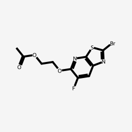 CC(=O)OCCOc1nc2sc(Br)nc2cc1F